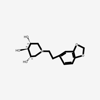 O[C@H]1[C@H](O)CN(CCc2ccc3c(c2)OCO3)C[C@@H]1O